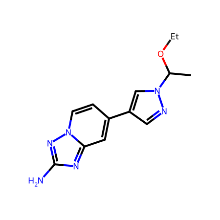 CCOC(C)n1cc(-c2ccn3nc(N)nc3c2)cn1